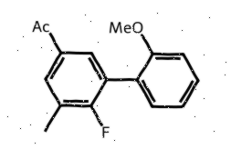 COc1ccccc1-c1cc(C(C)=O)cc(C)c1F